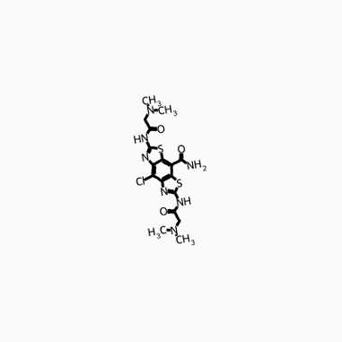 CN(C)CC(=O)Nc1nc2c(Cl)c3nc(NC(=O)CN(C)C)sc3c(C(N)=O)c2s1